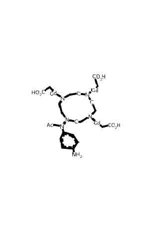 CC(=O)N(c1ccc(N)cc1)N1CC[N]([Gd][CH2]C(=O)O)CC[N]([Gd][CH2]C(=O)O)CC[N]([Gd][CH2]C(=O)O)CC1